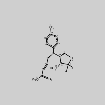 COC(=O)C=CC[C@@H](c1ccc(C(F)(F)F)cc1)[C@H]1COC(C)(C)N1C(=O)O